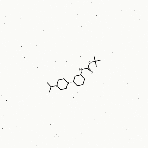 CC(C)N1CCN([C@H]2CCCC(NC(=O)OC(C)(C)C)C2)CC1